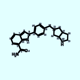 NC(=O)c1cccc2cn(-c3ccc(CN4CC5CCNC5C4)cc3)nc12